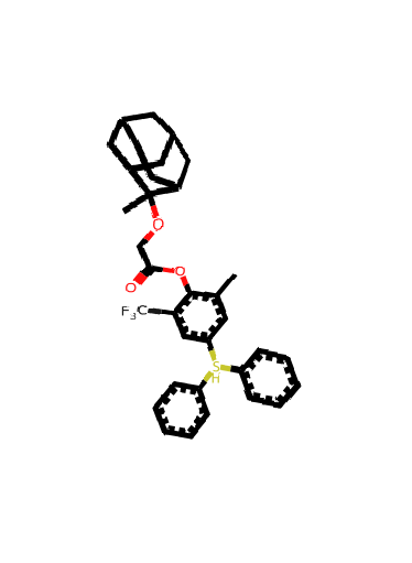 Cc1cc([SH](c2ccccc2)c2ccccc2)cc(C(F)(F)F)c1OC(=O)COC1(C)C2CC3CC(C2)CC1C3